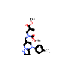 C=C(CN(CC1CN(c2ccc(C(F)(F)F)cc2)c2ccnn2C1)C(=O)OC(C)(C)C)C(=O)OC(C)(C)C